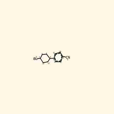 CCC(C)C1CCC(c2ccc(C#N)cc2)CC1